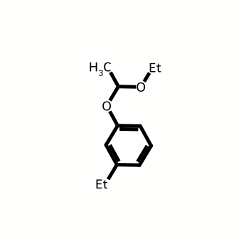 CCOC(C)Oc1cccc(CC)c1